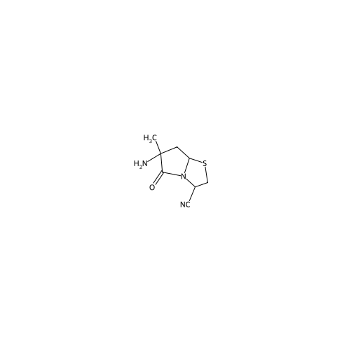 CC1(N)CC2SCC(C#N)N2C1=O